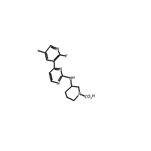 Cc1cnc(F)c(-c2ccnc(NC3CCCN(C(=O)O)C3)n2)c1